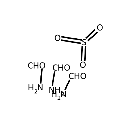 NC=O.NC=O.NC=O.O=S(=O)=O